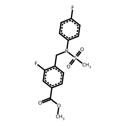 COC(=O)c1ccc(CN(c2ccc(F)cc2)S(C)(=O)=O)c(F)c1